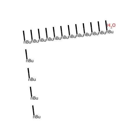 CCCCC.CCCCC.CCCCC.CCCCC.CCCCC.CCCCC.CCCCC.CCCCC.CCCCC.CCCCC.CCCCC.CCCCC.CCCCC.CCCCC.CCCCC.CCCCC.O